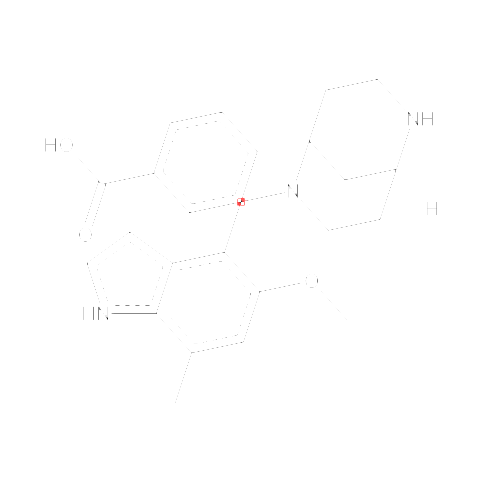 COc1cc(C)c2[nH]ccc2c1CN1CC[C@H]2C[C@]1(c1ccc(C(=O)O)cc1)CCN2